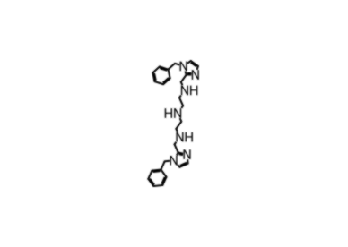 c1ccc(Cn2ccnc2CNCCNCCNCc2nccn2Cc2ccccc2)cc1